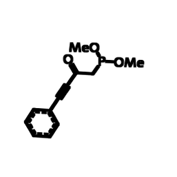 COP(CC(=O)C#Cc1ccccc1)OC